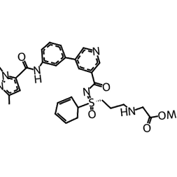 COC(=O)CNCCC[S@@](=O)(=NC(=O)c1cncc(-c2cccc(NC(=O)c3cc(C)nn3C)c2)c1)C1C=CC=CC1